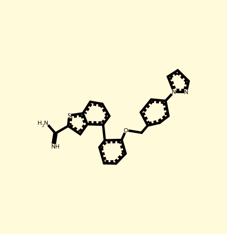 N=C(N)c1cc2c(-c3ccccc3OCc3ccc(-n4cccn4)cc3)cccc2s1